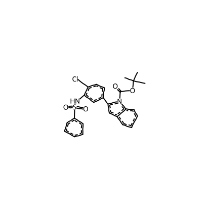 CC(C)(C)OC(=O)n1c(-c2ccc(Cl)c(NS(=O)(=O)c3ccccc3)c2)cc2ccccc21